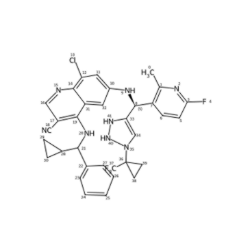 Cc1nc(F)ccc1[C@H](Nc1cc(Cl)c2ncc(C#N)c(NC(c3ccccc3)C3CC3)c2c1)C1=CN(C2(C(F)(F)F)CC2)NN1